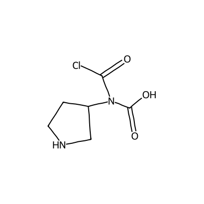 O=C(O)N(C(=O)Cl)C1CCNC1